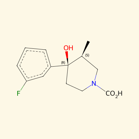 C[C@H]1CN(C(=O)O)CC[C@]1(O)c1cccc(F)c1